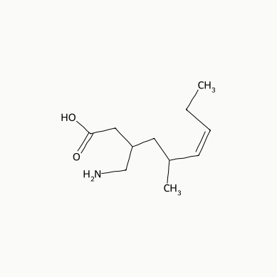 CC/C=C\C(C)CC(CN)CC(=O)O